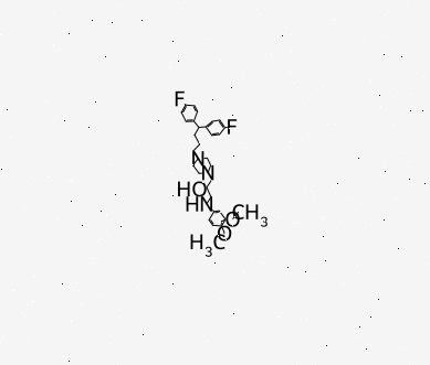 COc1ccc(NCC(O)CN2CCN(CCCC(c3ccc(F)cc3)c3ccc(F)cc3)CC2)cc1OC